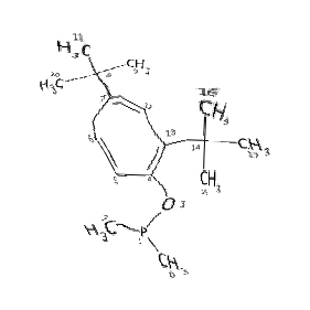 CP(C)Oc1ccc(C(C)(C)C)cc1C(C)(C)C